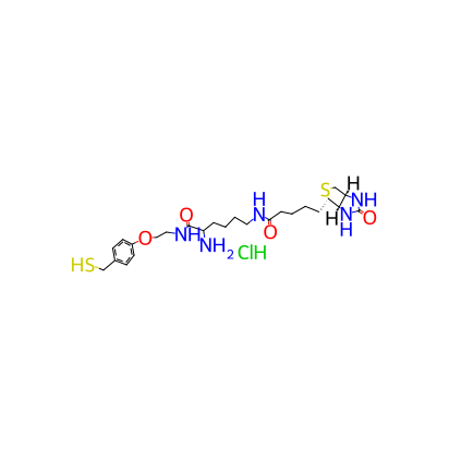 Cl.NC(CCCCNC(=O)CCCC[C@@H]1SC[C@@H]2NC(=O)N[C@@H]21)C(=O)NCCOc1ccc(CS)cc1